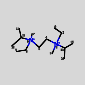 CC[N+](C)(CC[N+](C)(CC)C(C)C)C(C)C